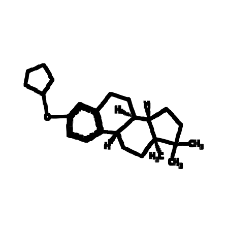 CC1(C)CC[C@H]2[C@@H]3CCc4cc(OC5CCCC5)ccc4[C@H]3CC[C@@]21C